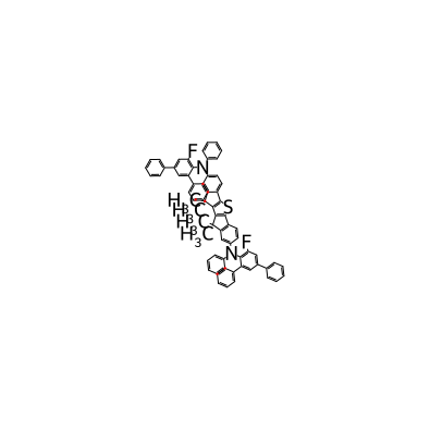 CC1(C)c2cc(N(c3ccccc3)c3c(F)cc(-c4ccccc4)cc3-c3ccccc3)ccc2-c2sc3c(c21)C(C)(C)c1cc(N(c2ccccc2)c2c(F)cc(-c4ccccc4)cc2-c2ccccc2)ccc1-3